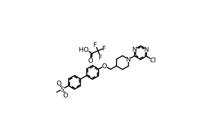 CS(=O)(=O)c1ccc(-c2ccc(OCC3CCN(c4cc(Cl)ncn4)CC3)cc2)cc1.O=C(O)C(F)(F)F